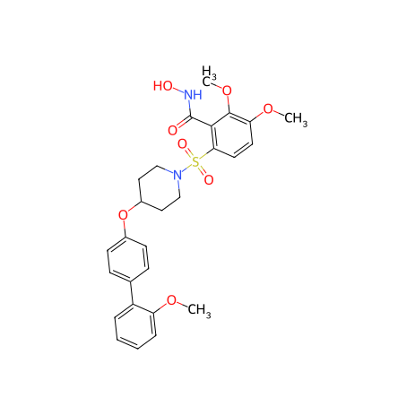 COc1ccccc1-c1ccc(OC2CCN(S(=O)(=O)c3ccc(OC)c(OC)c3C(=O)NO)CC2)cc1